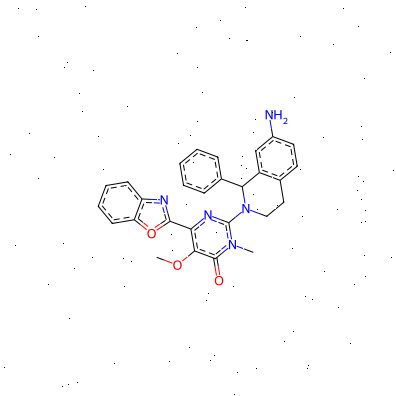 COc1c(-c2nc3ccccc3o2)nc(N2CCc3ccc(N)cc3C2c2ccccc2)n(C)c1=O